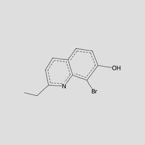 CCc1ccc2ccc(O)c(Br)c2n1